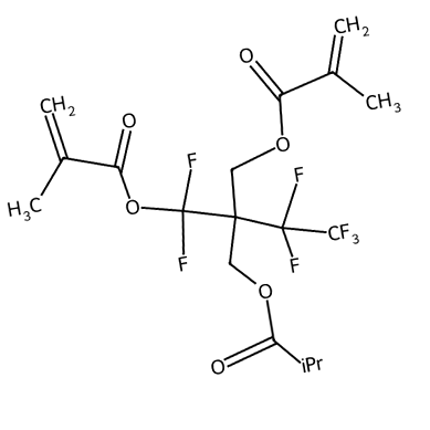 C=C(C)C(=O)OCC(COC(=O)C(C)C)(C(F)(F)OC(=O)C(=C)C)C(F)(F)C(F)(F)F